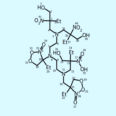 CCC(CO)(CN(CCN(CCN(CC(CC)(CO)[N+](=O)O)CC1(CC)COO[N+]1=O)C1(CC)COO[N+]1=O)CC(CC)(CO)[N+](=O)[O-])[N+](=O)[O-]